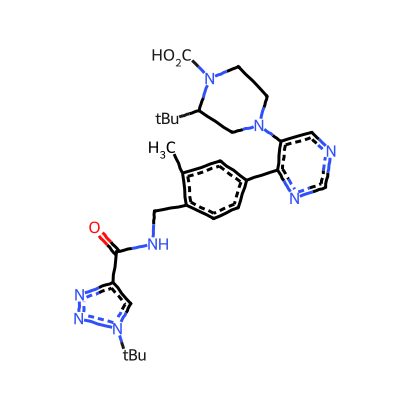 Cc1cc(-c2ncncc2N2CCN(C(=O)O)C(C(C)(C)C)C2)ccc1CNC(=O)c1cn(C(C)(C)C)nn1